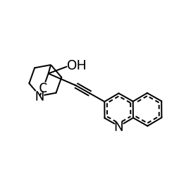 OC1(C#Cc2cnc3ccccc3c2)CN2CCC1CC2